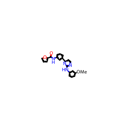 COc1cccc(Nc2nccc(-c3cccc(NC(=O)c4ccco4)c3)n2)c1